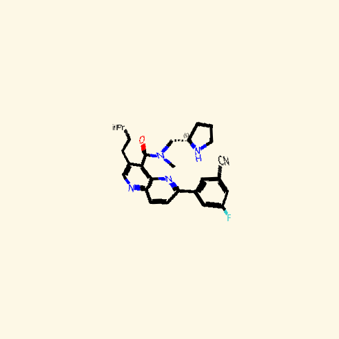 CC(C)CCc1cnc2ccc(-c3cc(F)cc(C#N)c3)nc2c1C(=O)N(C)C[C@@H]1CCCN1